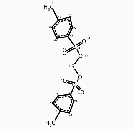 Cc1ccc(S(=O)(=O)OSOS(=O)(=O)c2ccc(C)cc2)cc1